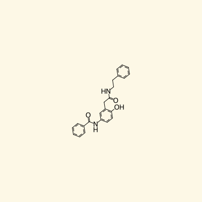 O=C(Cc1cc(NC(=O)c2ccccc2)ccc1O)NCCc1ccccc1